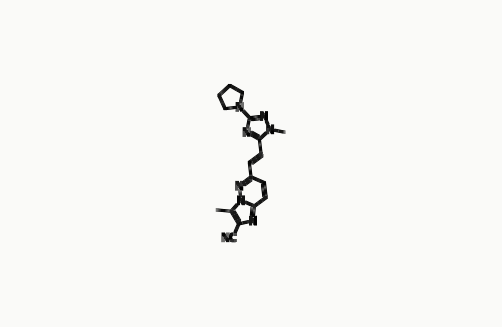 Cc1c(C#N)nc2ccc(C=Cc3nc(N4CCCC4)nn3C)nn12